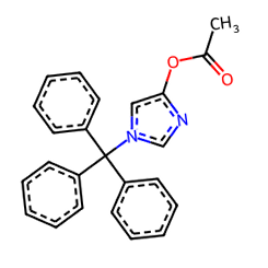 CC(=O)Oc1cn(C(c2ccccc2)(c2ccccc2)c2ccccc2)cn1